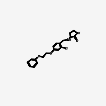 O=C1NCCC1NCc1ccc(OCCOc2ccccc2)cc1Cl